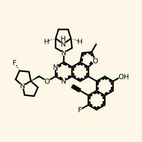 C#Cc1c(F)ccc2cc(O)cc(-c3cc4nc(OC[C@@]56CCCN5C[C@H](F)C6)nc(N5C[C@H]6CC[C@@H](C5)N6)c4c4cc(C)oc34)c12